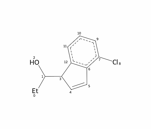 CCC(O)C1C=Cc2c(Cl)cccc21